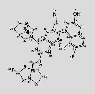 Cc1c(F)ccc2cc(O)cc(-c3c(C#N)cc4c(N5CC6CCC(C5)N6)nc(OC[C@@]56CCCN5C[C@H](F)C6)nc4c3F)c12